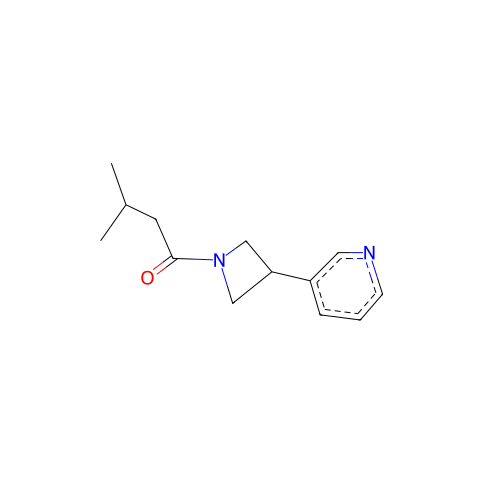 CC(C)CC(=O)N1CC(c2cccnc2)C1